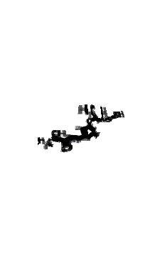 CC(CNSS)Oc1cc(F)cc(/C=C/C(=O)C(C)C)c1